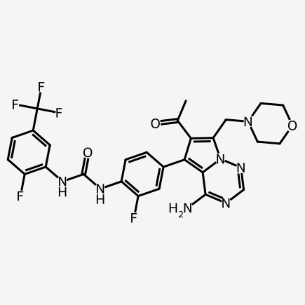 CC(=O)c1c(-c2ccc(NC(=O)Nc3cc(C(F)(F)F)ccc3F)c(F)c2)c2c(N)ncnn2c1CN1CCOCC1